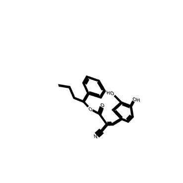 CCCC(OC(=O)C(C#N)=Cc1ccc(O)c(O)c1)c1ccccc1